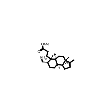 COC(=O)CC[C@@]1(C)[C@H](CN)CC[C@@H]2[C@@H]1CC[C@]1(C)C(C)=CC[C@@H]21